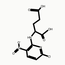 O=C(O)CCC(Nc1nc(Cl)ccc1[N+](=O)[O-])C(=O)O